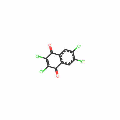 O=C1C(Cl)=C(Cl)C(=O)c2cc(Cl)c(Cl)cc21